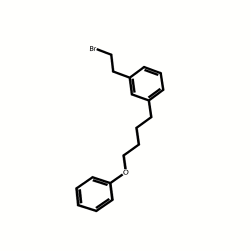 BrCCc1cccc(CCCCOc2ccccc2)c1